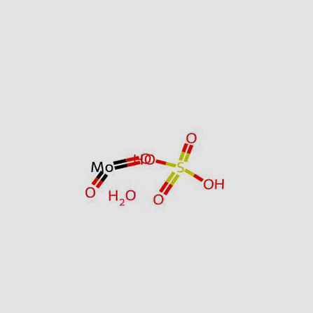 O.O=S(=O)(O)O.[O]=[Mo]=[O]